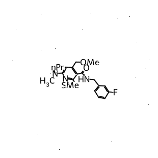 CCCN(C)c1cc(COC)c(C(=O)NCc2cccc(F)c2)c(SC)n1